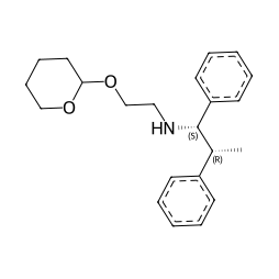 C[C@H](c1ccccc1)[C@H](NCCOC1CCCCO1)c1ccccc1